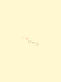 Cc1ccc(C#Cc2ccc(OC(=O)C3CCC(C)CC3)cc2)cc1